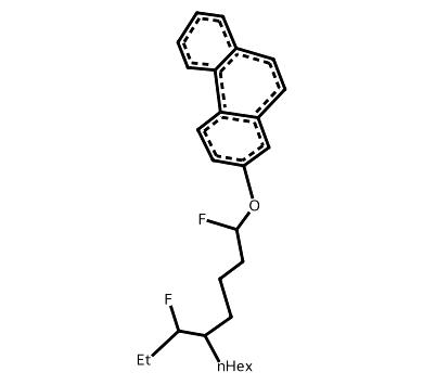 CCCCCCC(CCCC(F)Oc1ccc2c(ccc3ccccc32)c1)C(F)CC